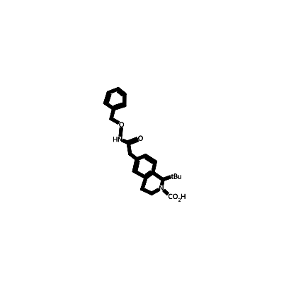 CC(C)(C)C1c2ccc(CC(=O)NOCc3ccccc3)cc2CCN1C(=O)O